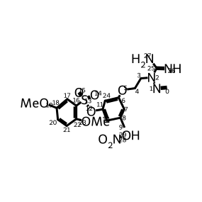 C=NN(CCOc1cc(C)cc(OS(=O)(=O)c2cc(OC)ccc2OC)c1)C(=N)N.O=[N+]([O-])O